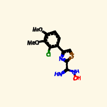 COc1ccc(-c2csc(C(=N)NO)n2)c(Cl)c1OC